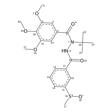 COc1cc(C(=O)N(NC(=O)c2cccc([S+](C)[O-])c2)C(C)(C)C)cc(OC)c1OC